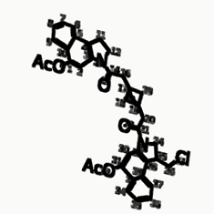 CC(=O)Oc1cc2c(c3ccccc13)CCN2C(=O)CC12CC(CC(=O)N3CC(CCl)c4c3cc(OC(C)=O)c3ccccc43)(C1)C2